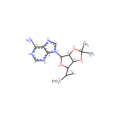 CCOC(=O)C1C[C@@]12OC(n1cnc3c(N)ncnc31)C1OC(C)(C)OC12